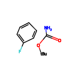 CC(C)(C)OC(N)=O.Fc1ccccc1